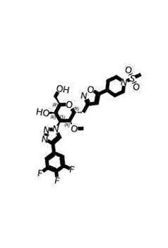 CO[C@@H]1[C@@H](n2cc(-c3cc(F)c(F)c(F)c3)nn2)[C@@H](O)[C@@H](CO)O[C@@H]1Cc1cc(C2CCN(S(C)(=O)=O)CC2)on1